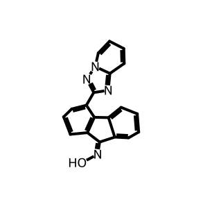 O/N=C1/c2ccccc2-c2c1cccc2-c1nc2ccccn2n1